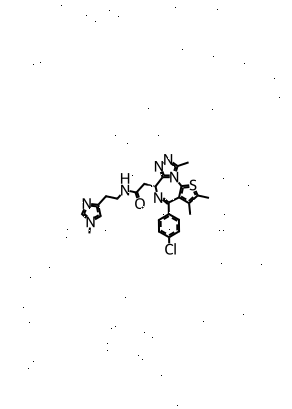 Cc1sc2c(c1C)C(c1ccc(Cl)cc1)=N[C@@H](CC(=O)NCCc1cn(C)cn1)c1nnc(C)n1-2